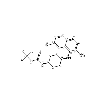 CC(C)(C)OC(=O)N[C@H]1CC[C@@H](Nc2c(N)cnc3ccc(Br)cc23)CC1